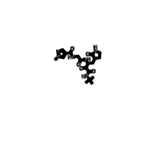 Cn1cc(C(=O)NCC(=O)NC(CC2CCNC2=O)C(=O)C(=O)NC(C)(C)C)cn1